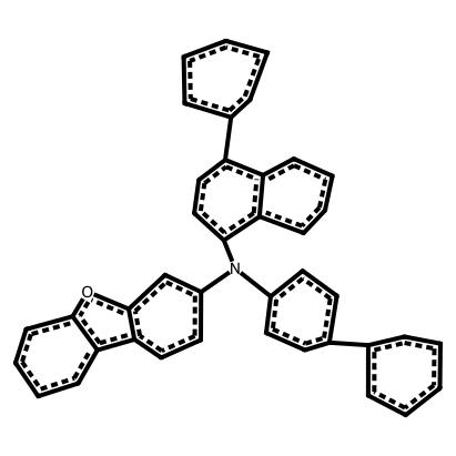 c1ccc(-c2ccc(N(c3ccc4c(c3)oc3ccccc34)c3ccc(-c4ccccc4)c4ccccc34)cc2)cc1